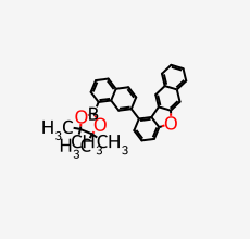 CC1(C)OB(c2cccc3ccc(-c4cccc5oc6cc7ccccc7cc6c45)cc23)OC1(C)C